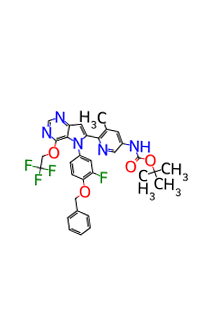 Cc1cc(NC(=O)OC(C)(C)C)cnc1-c1cc2ncnc(OCC(F)(F)F)c2n1-c1ccc(OCc2ccccc2)c(F)c1